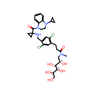 CN(C[C@H](O)[C@@H](O)[C@@H](O)[C@H](O)CO)C(=O)CCc1cc(Cl)c(CNC2(C(=O)N3CCN(C4CC4)c4ccccc43)CC2)cc1Cl